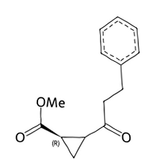 COC(=O)[C@@H]1CC1C(=O)CCc1ccccc1